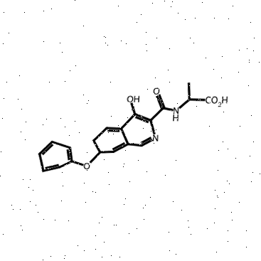 CC(NC(=O)c1ncc2c(c1O)=CCC(Oc1ccccc1)C=2)C(=O)O